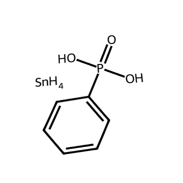 O=P(O)(O)c1ccccc1.[SnH4]